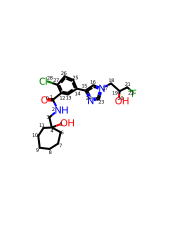 O=C(NCC1(O)CCCCCC1)c1cc(-c2cn(CC(O)CF)cn2)ccc1Cl